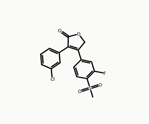 CS(=O)(=O)c1ccc(C2=C(c3cccc(Cl)c3)C(=O)OC2)cc1F